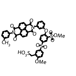 COc1ccc(S(=O)(=O)c2ccc(Oc3cccc(N4C(=O)c5ccc6c7c(ccc(c57)C4=O)C(=O)N(c4cccc(C)c4)C6=O)c3)c(S(=O)(=O)OC)c2)cc1CS(=O)(=O)O